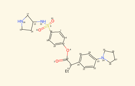 CCC(C(=O)Oc1ccc(S(=O)(=O)NC2CCNC2)cc1)c1ccc(N2CCCC2)cc1